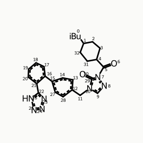 CCC(C)C1CCC(C(=O)n2ncn(Cc3ccc(-c4ccccc4-c4nnn[nH]4)cc3)c2=O)CC1